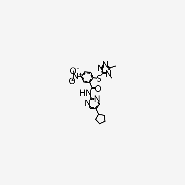 Cc1nnc(Sc2ccc([N+](=O)[O-])cc2C(=O)Nc2ncc(C3CCCC3)cn2)n1C